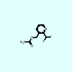 NC(=O)OCc1cccnc1C(F)F